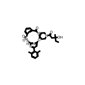 CCC(C)(O)CC(=O)N1CCC2(CC1)NC(=O)c1cccc(c1)S(=O)(=O)Nc1nc(cc(-c3c(C)cccc3C)n1)O2